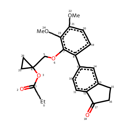 CCC(=O)OC1(COc2c(-c3ccc4c(c3)CCC4=O)ccc(OC)c2OC)CC1